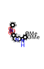 COc1cc2[nH]c3c(c2cc1OC)CC1c2cc4c(cc2CCN1C3)ON(Oc1ccccc1)O4